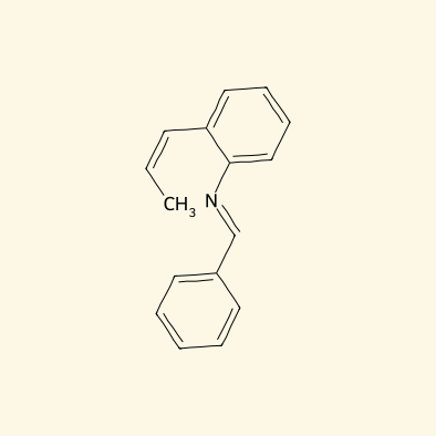 C/C=C\c1ccccc1/N=C/c1ccccc1